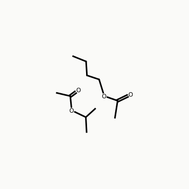 CC(=O)OC(C)C.CCCCOC(C)=O